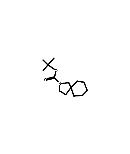 CC(C)(C)OC(=O)N1CCC2(CCCCC2)C1